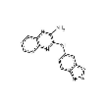 Nc1nc2ccccc2nc1Nc1ccc2nsnc2c1